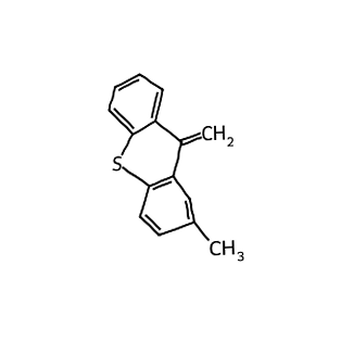 C=C1c2ccccc2Sc2ccc(C)cc21